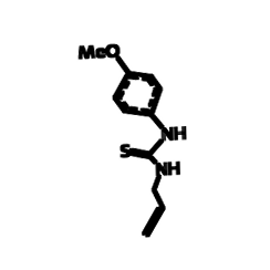 C=CCNC(=S)Nc1ccc(OC)cc1